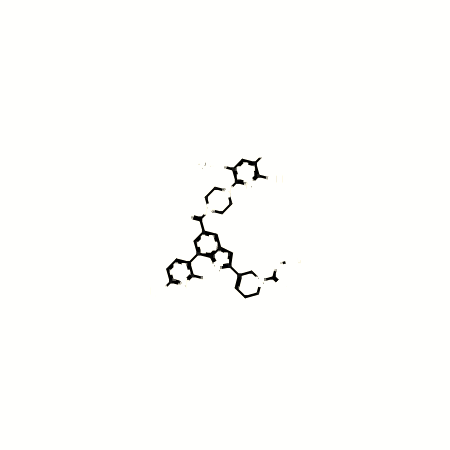 CCc1nc(C)ccc1-c1cc(C(=O)N2CCN(c3nc(C)c(F)cc3OC)CC2)cc2cc(C3=CCCN(C(=O)OC(C)(C)C)C3)[nH]c12